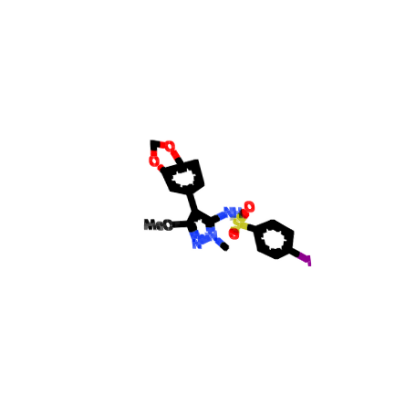 COc1nn(C)c(NS(=O)(=O)c2ccc(I)cc2)c1-c1ccc2c(c1)OCO2